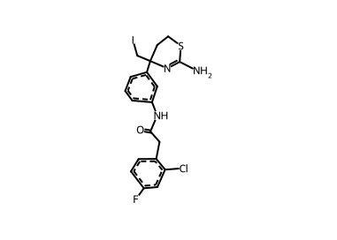 NC1=NC(CI)(c2cccc(NC(=O)Cc3ccc(F)cc3Cl)c2)CCS1